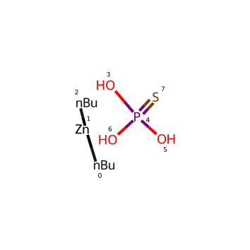 CCC[CH2][Zn][CH2]CCC.OP(O)(O)=S